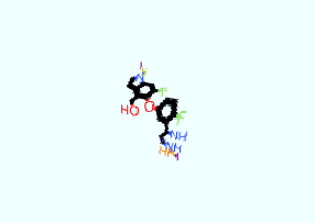 N=C(/C=C\NPI)c1cc(Oc2c(F)cc3c(ccn3SI)c2CO)ccc1F